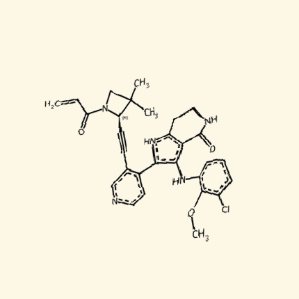 C=CC(=O)N1CC(C)(C)[C@H]1C#Cc1cnccc1-c1[nH]c2c(c1Nc1cccc(Cl)c1OC)C(=O)NCC2